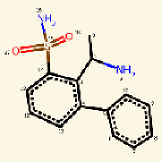 CC(N)c1c(-c2ccccc2)cccc1S(N)(=O)=O